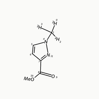 [2H]C([2H])([2H])n1ccc(C(=O)OC)n1